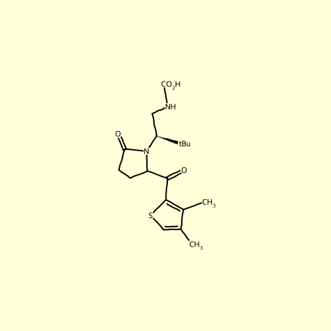 Cc1csc(C(=O)C2CCC(=O)N2[C@@H](CNC(=O)O)C(C)(C)C)c1C